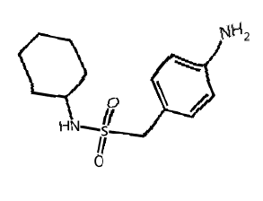 Nc1ccc(CS(=O)(=O)NC2CCCCC2)cc1